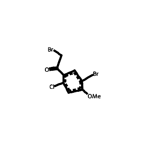 COc1cc(Cl)c(C(=O)CBr)cc1Br